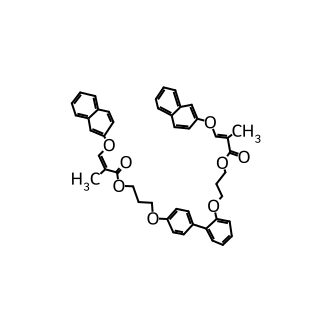 CC(=COc1ccc2ccccc2c1)C(=O)OCCCOc1ccc(-c2ccccc2OCCCOC(=O)C(C)=COc2ccc3ccccc3c2)cc1